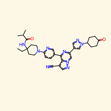 CCC1(NC(=O)C(C)C)CCN(c2ccc(-c3nc(-c4cnn(C5CCC(=O)CC5)c4)cn4ncc(C#N)c34)cn2)CC1